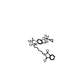 [2H]C([2H])(Oc1cc(C(C)NS(=O)(=O)CCCCCN2C(=O)c3ccccc3C2=O)ccc1F)C1CC1